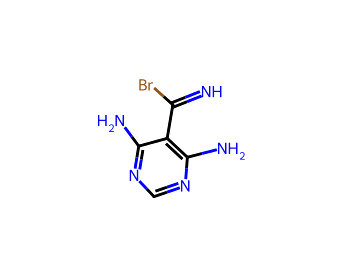 N=C(Br)c1c(N)ncnc1N